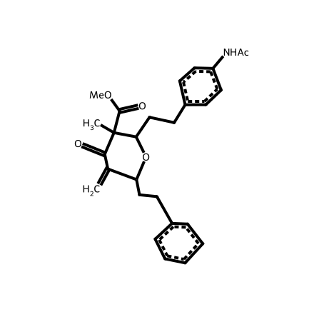 C=C1C(=O)C(C)(C(=O)OC)C(CCc2ccc(NC(C)=O)cc2)OC1CCc1ccccc1